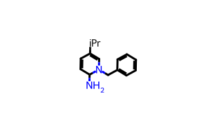 CC(C)C1=CN(Cc2ccccc2)C(N)C=C1